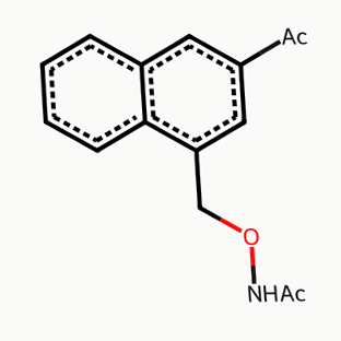 CC(=O)NOCc1cc(C(C)=O)cc2ccccc12